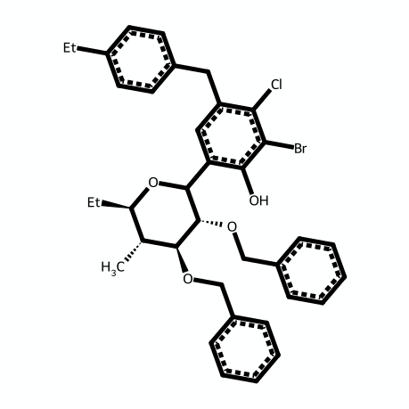 CCc1ccc(Cc2cc(C3O[C@H](CC)[C@@H](C)[C@H](OCc4ccccc4)[C@H]3OCc3ccccc3)c(O)c(Br)c2Cl)cc1